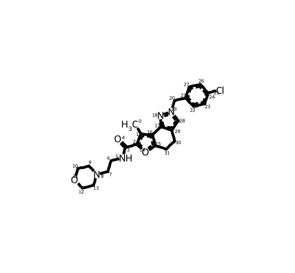 Cc1c(C(=O)NCCN2CCOCC2)oc2c1-c1nn(Cc3ccc(Cl)cc3)cc1CC2